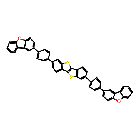 c1ccc2c(c1)oc1ccc(-c3ccc(-c4ccc5c(c4)sc4c6ccc(-c7ccc(-c8ccc9oc%10ccccc%10c9c8)cc7)cc6sc54)cc3)cc12